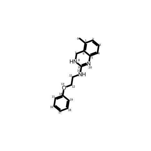 Cc1cccc2c1CNC(NCCOc1ccccc1)=N2